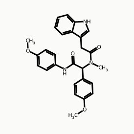 COc1ccc(NC(=O)C(c2ccc(OC)cc2)N(C)C(=O)Cc2c[nH]c3ccccc23)cc1